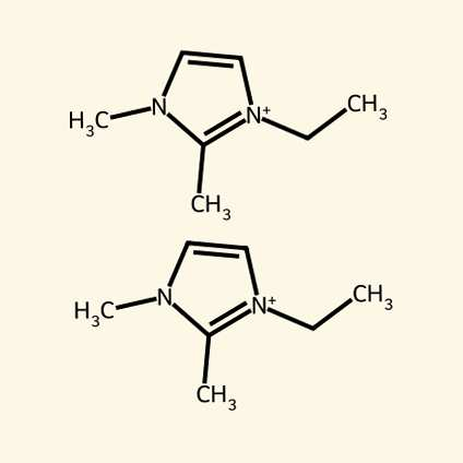 CC[n+]1ccn(C)c1C.CC[n+]1ccn(C)c1C